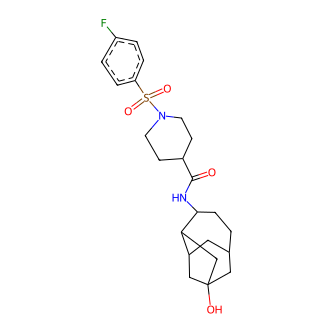 O=C(NC1CCC2CC3CC(O)(C2)CC31)C1CCN(S(=O)(=O)c2ccc(F)cc2)CC1